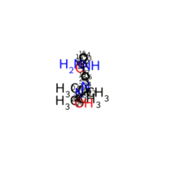 C[C@@H]1CN(Cc2ccc(C(=O)Nc3ccccc3N)cc2)[C@@H](C)CN1CC(C)(C)O